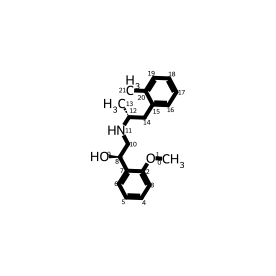 COc1ccccc1[C@@H](O)CN[C@H](C)Cc1ccccc1C